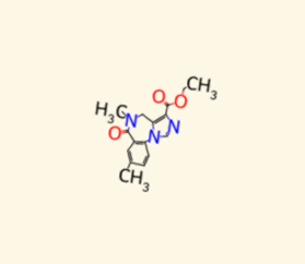 CCOC(=O)c1ncn2c1CN(C)C(=O)c1cc(C)ccc1-2